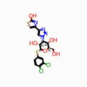 OC[C@H]1O[C@H](Sc2ccc(Cl)c(Cl)c2)[C@H](O)[C@@H](n2cc(-c3csc(O)n3)nn2)[C@H]1O